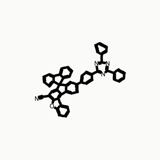 N#Cc1cc2c(c3c1oc1ccccc13)-c1ccc(-c3ccc(-c4nc(-c5ccccc5)nc(-c5ccccc5)n4)cc3)cc1C21c2ccccc2-c2ccccc21